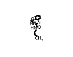 C=C/C=C\CNC(=O)C1=Nc2ccccc2S(=O)(=O)N1